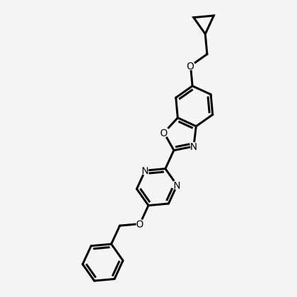 c1ccc(COc2cnc(-c3nc4ccc(OCC5CC5)cc4o3)nc2)cc1